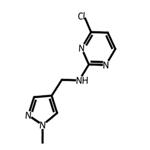 Cn1cc(CNc2nccc(Cl)n2)cn1